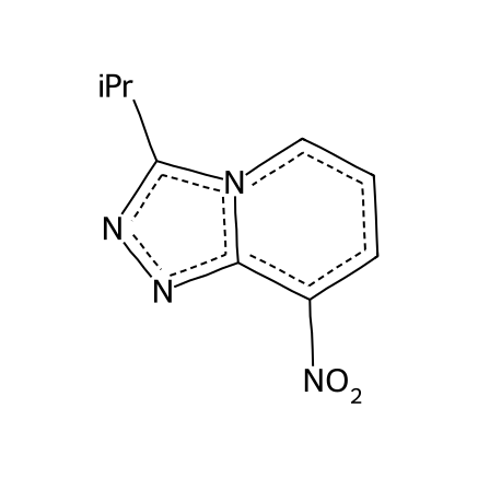 CC(C)c1nnc2c([N+](=O)[O-])cccn12